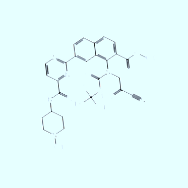 C=C(C#N)CN(C(=O)OC(C)(C)C)c1c(C(=O)OC)ccc2ccc(-c3nccc(C(=O)NC4CCN(C)CC4)n3)cc12